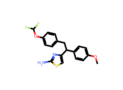 COc1ccc(C(Cc2ccc(OC(F)F)cc2)c2csc(N)n2)cc1